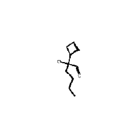 CCCCC(Cl)(C=O)C1CCC1